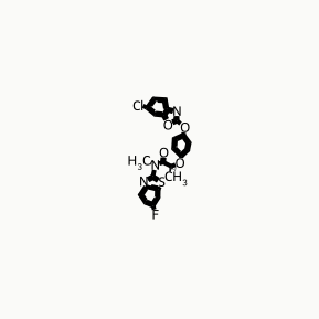 C[C@@H](Oc1ccc(Oc2nc3ccc(Cl)cc3o2)cc1)C(=O)N(C)c1nc2ccc(F)cc2s1